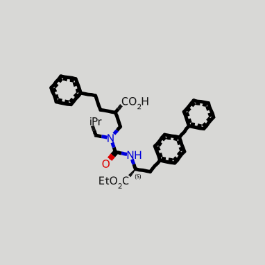 CCOC(=O)[C@H](Cc1ccc(-c2ccccc2)cc1)NC(=O)N(CC(C)C)CC(CCc1ccccc1)C(=O)O